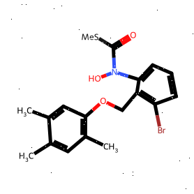 CSC(=O)N(O)c1cccc(Br)c1COc1cc(C)c(C)cc1C